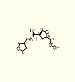 O=C(NCC1CCOC1)C1=COC(COO)C1